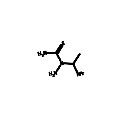 CCCC(C)N(N)C(N)=S